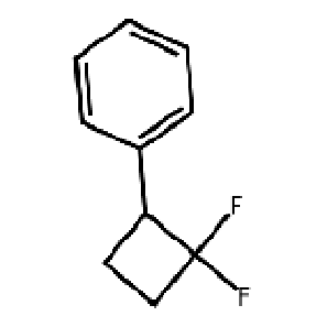 FC1(F)CC[C]1c1ccccc1